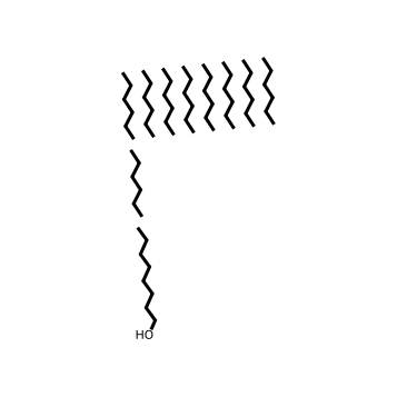 CCCCCC.CCCCCC.CCCCCC.CCCCCC.CCCCCC.CCCCCC.CCCCCC.CCCCCC.CCCCCC.CCCCCCCCO